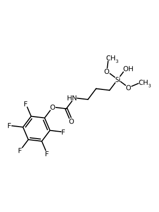 CO[Si](O)(CCCNC(=O)Oc1c(F)c(F)c(F)c(F)c1F)OC